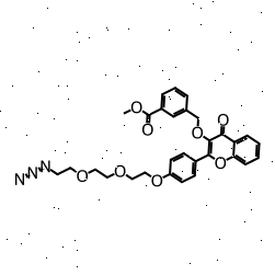 COC(=O)c1cccc(COc2c(-c3ccc(OCCOCCOCCN=[N+]=[N-])cc3)oc3ccccc3c2=O)c1